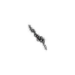 CCCCCCCCOc1ccc(C(=O)Oc2ccc(OC/C=C/C3CCC(CCCCC)CC3)cc2)c(F)c1F